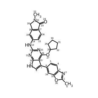 Cc1nc2ccc(-c3c[nH]c4nc(Nc5ccc6c(c5)CN(C)C6=O)nc(OC5CCCC5)c34)cc2o1